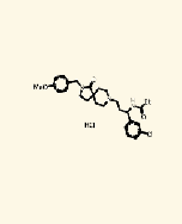 CCC(=O)NC(CCN1CCC2(CC1)CCN(Cc1ccc(OC)cc1)C2=O)c1cccc(Cl)c1.Cl